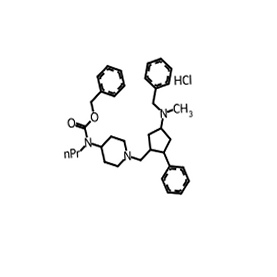 CCCN(C(=O)OCc1ccccc1)C1CCN(CC2CC(N(C)Cc3ccccc3)CC2c2ccccc2)CC1.Cl